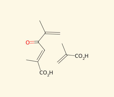 C=C(C)C(=O)/C=C(\C)C(=O)O.C=C(C)C(=O)O